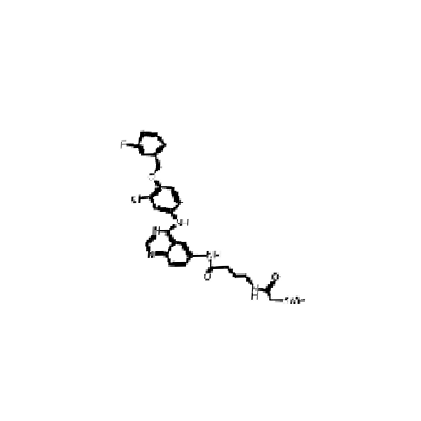 CSCC(=O)NCCCC(=O)Nc1ccc2ncnc(Nc3ccc(OCc4cccc(F)c4)c(Cl)c3)c2c1